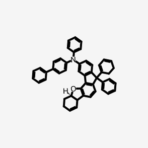 C1=CCCC(C2(c3ccccc3)c3ccc(N(c4ccccc4)c4ccc(-c5ccccc5)cc4)cc3-c3c2ccc2c3O[C@@H]3CCC=CC23)=C1